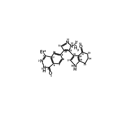 CCc1n[nH]c(=O)c2ccc(-c3cnn(C)c3-c3c[nH]c4c3C(=O)CCC4)cc12